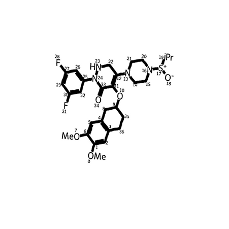 COc1cc2c(cc1OC)CC(OC1=C(N3CCN([S+]([O-])C(C)C)CC3)CNN(c3cc(F)cc(F)c3)C1=O)CC2